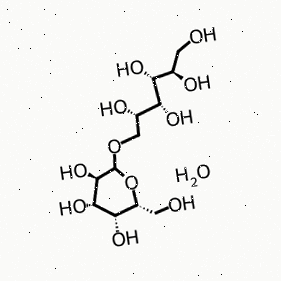 O.OC[C@@H](O)[C@@H](O)[C@H](O)[C@@H](O)COC1O[C@H](CO)[C@H](O)[C@H](O)[C@H]1O